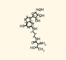 CC(O)C(N)C(=O)NCCCNc1nc(S)c2ncn(C3O[C@H](CO)[C@H](O)C3O)c2n1